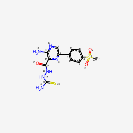 CC(C)S(=O)(=O)c1ccc(-c2cnc(N)c(C(=O)NNC(N)=S)n2)cc1